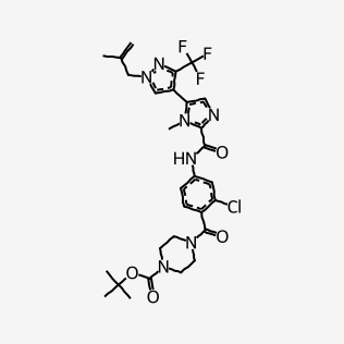 C=C(C)Cn1cc(-c2cnc(C(=O)Nc3ccc(C(=O)N4CCN(C(=O)OC(C)(C)C)CC4)c(Cl)c3)n2C)c(C(F)(F)F)n1